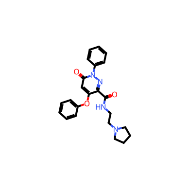 O=C(NCCN1CCCC1)c1nn(-c2ccccc2)c(=O)cc1Oc1ccccc1